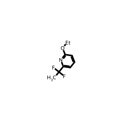 CCOc1cccc(C(C)(F)F)n1